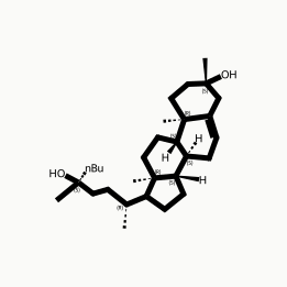 CCCC[C@](C)(O)CC[C@@H](C)C1CC[C@H]2[C@@H]3CC=C4C[C@@](C)(O)CC[C@]4(C)[C@H]3CC[C@]12C